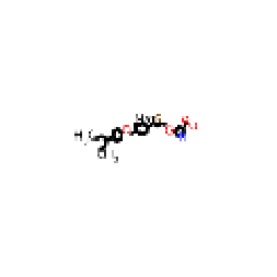 CCCC(CCC)c1ccc(OCc2ccc(-c3csc(COc4cncc(C(=O)[O-])c4)c3)cc2)cc1.[Na+]